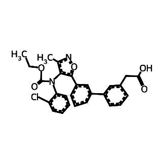 CCOC(=O)N(c1ccccc1Cl)c1c(C)noc1-c1cccc(-c2cccc(CC(=O)O)c2)c1